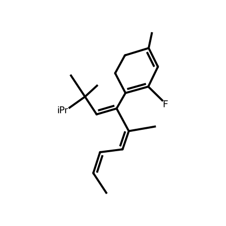 C\C=C/C=C(C)\C(=C\C(C)(C)C(C)C)C1=C(F)C=C(C)CC1